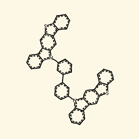 c1cc(-c2cccc(-n3c4ccccc4c4cc5sc6ccccc6c5cc43)c2)cc(-n2c3ccccc3c3cc4sc5ccccc5c4cc32)c1